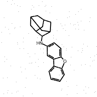 c1ccc2c(c1)oc1ccc(NC3C4CC5CC(C4)CC3C5)cc12